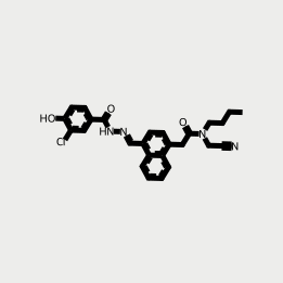 CCCCN(CC#N)C(=O)Cc1ccc(/C=N/NC(=O)c2ccc(O)c(Cl)c2)c2ccccc12